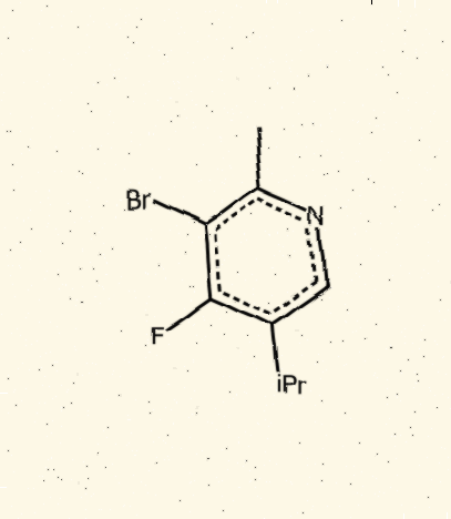 Cc1ncc(C(C)C)c(F)c1Br